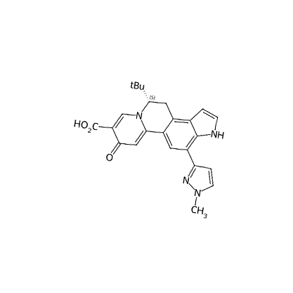 Cn1ccc(-c2cc3c(c4cc[nH]c24)C[C@@H](C(C)(C)C)n2cc(C(=O)O)c(=O)cc2-3)n1